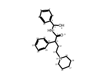 O=C(NC(O)c1ccccc1)C(CCN1CCCCC1)c1ccccc1